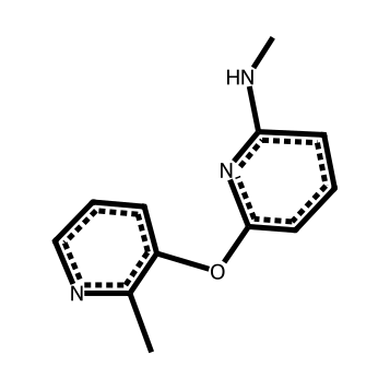 CNc1cccc(Oc2cccnc2C)n1